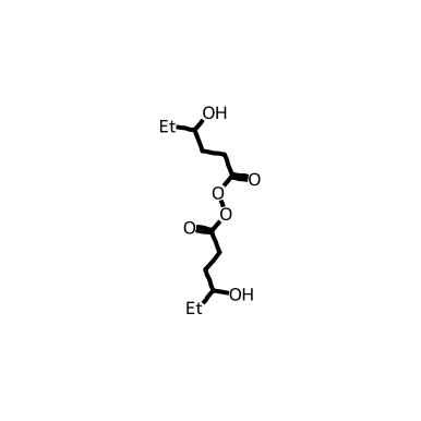 CCC(O)CCC(=O)OOC(=O)CCC(O)CC